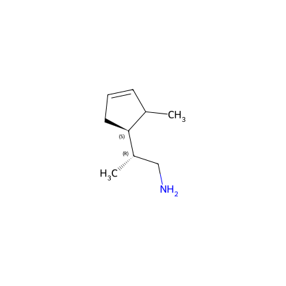 CC1C=CC[C@@H]1[C@@H](C)CN